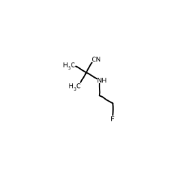 CC(C)(C#N)NCCF